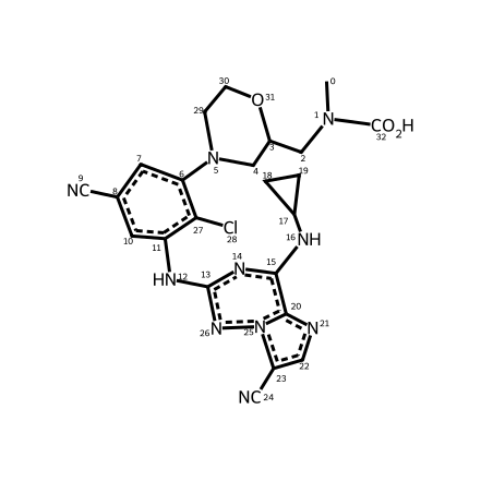 CN(CC1CN(c2cc(C#N)cc(Nc3nc(NC4CC4)c4ncc(C#N)n4n3)c2Cl)CCO1)C(=O)O